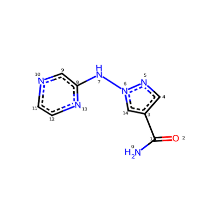 NC(=O)c1cnn(Nc2cnccn2)c1